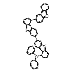 c1ccc(N(c2ccccc2)c2cccc3sc4cc(-c5ccc6c(c5)sc5cccc(-c7ccc8oc9ccccc9c8c7)c56)ccc4c23)cc1